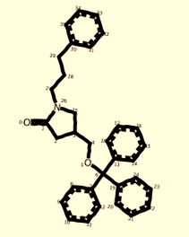 O=C1CC(COC(c2ccccc2)(c2ccccc2)c2ccccc2)CN1CCCc1ccccc1